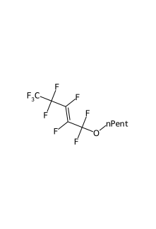 CCCCCOC(F)(F)C(F)=C(F)C(F)(F)C(F)(F)F